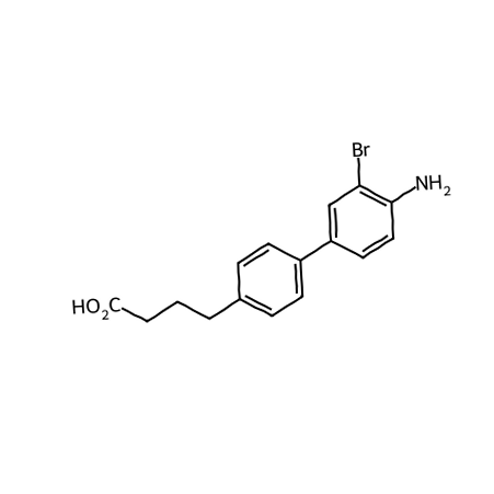 Nc1ccc(-c2ccc(CCCC(=O)O)cc2)cc1Br